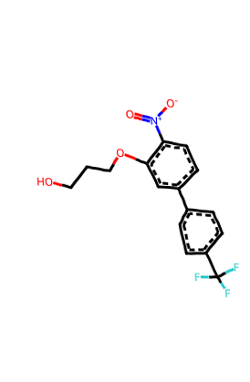 O=[N+]([O-])c1ccc(-c2ccc(C(F)(F)F)cc2)cc1OCCCO